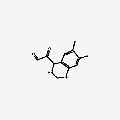 Cc1cc2c(cc1C)C(C(=O)C=O)NCN2